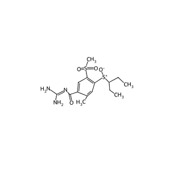 CCC(CC)[S+]([O-])c1cc(C)c(C(=O)N=C(N)N)cc1S(C)(=O)=O